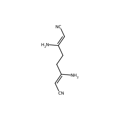 N#CC=C(N)CCC(N)=CC#N